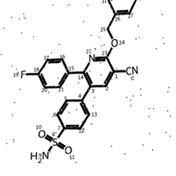 N#Cc1cc(-c2ccc(S(N)(=O)=O)cc2)c(-c2ccc(F)cc2)nc1OCc1cccnc1